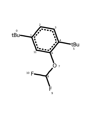 CC(C)(C)c1ccc(C(C)(C)C)c(OC(F)F)c1